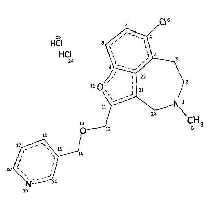 CN1CCc2c(Cl)ccc3oc(COCc4cccnc4)c(c23)C1.Cl.Cl